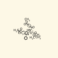 CCOC(=O)N1CCN(C(=O)[C@H](CCC(=O)OC(C)(C)C)NC(=O)c2cc(/C=C/C(=O)N(C)C)nc(-c3ccccc3)n2)CC1